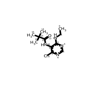 CCNc1ncnc(Cl)c1NC(=O)C(C)(C)C